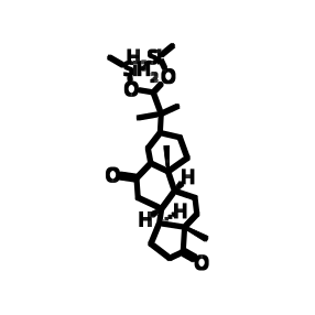 C[SiH2]OC(O[SiH2]C)C(C)(C)C1CC[C@@]2(C)C(C1)C(=O)C[C@@H]1[C@H]2CC[C@]2(C)C(=O)CC[C@@H]12